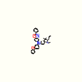 C=CCC1/C(=C\C)c2ccc(N(c3ccc4oc(-c5ccccc5)nc4c3)c3ccc4c(c3)oc3ccccc34)cc2C1(C)C